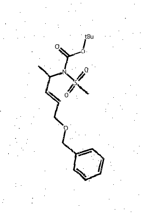 CC(/C=C/COCc1ccccc1)N(C(=O)OC(C)(C)C)S(C)(=O)=O